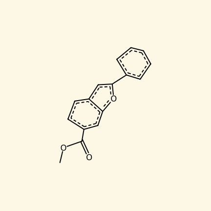 COC(=O)c1ccc2cc(-c3ccccc3)oc2c1